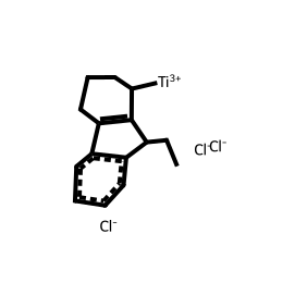 CCC1C2=C(CCC[CH]2[Ti+3])c2ccccc21.[Cl-].[Cl-].[Cl-]